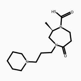 C[C@@H]1CN(CCCN2CCCCC2)C(=O)CCN1C(=O)S